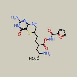 Nc1nc2c(c(=O)[nH]1)SC(CCC(C[C@H](N)C(=O)O)C(=O)ONC(=O)c1ccco1)CN2